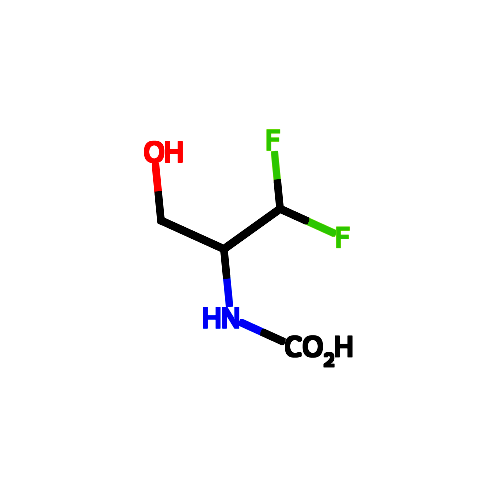 O=C(O)NC(CO)C(F)F